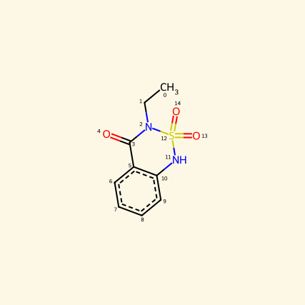 CCN1C(=O)c2ccccc2NS1(=O)=O